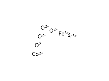 [Co+2].[Fe+3].[O-2].[O-2].[O-2].[O-2].[Pr+3]